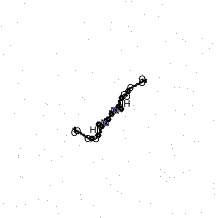 C=C(C)C(=O)OCCCCCCOc1ccc(Oc2ccc(CNc3ccc(/N=N/c4ccc(-c5ccc(/N=N/c6ccc(NCc7ccc(OC(=O)c8ccc(OCCCCCCOC(=O)C(=C)C)cc8)cc7)c7ccccc67)c(C)c5)cc4C)c4ccccc34)cc2)cc1